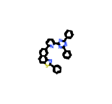 c1ccc(-c2nc(-c3ccccc3)nc(-c3cccc(-c4ccc5ccc6sc(-c7ccccc7)nc6c5c4)n3)n2)cc1